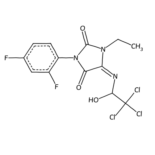 CCN1C(=O)N(c2ccc(F)cc2F)C(=O)C1=NC(O)C(Cl)(Cl)Cl